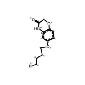 O=C1COc2ccc(OCCCCBr)cc2N1